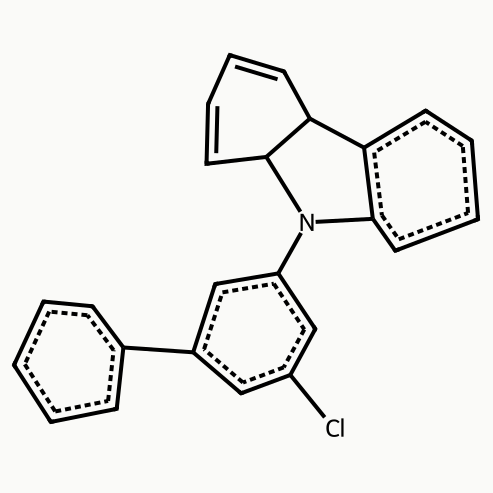 Clc1cc(-c2ccccc2)cc(N2c3ccccc3C3C=CC=CC32)c1